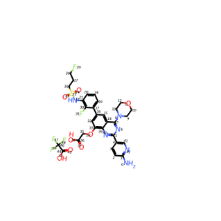 Nc1ccc(-c2nc(N3CCOCC3)c3cc(-c4cccc(NS(=O)(=O)CCCF)c4F)cc(OCC(=O)O)c3n2)cn1.O=C(O)C(F)(F)F